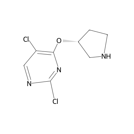 Clc1ncc(Cl)c(O[C@@H]2CCNC2)n1